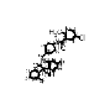 Cc1ncc(Cl)cc1C(=O)NC1CCC(CN2C(=O)C(O)(c3ccccc3F)c3ccc(F)cc32)CC1